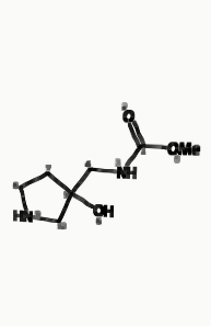 COC(=O)NCC1(O)CCNC1